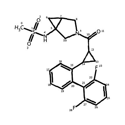 CS(=O)(=O)NC12CC1CN(C(=O)C1CC1c1ccccc1-c1c(F)cccc1F)C2